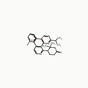 CC(C)c1ncc(C(N)=O)c(-c2c(-c3ccccc3F)ccnc2C2CCC(=O)CC2(C)C)n1